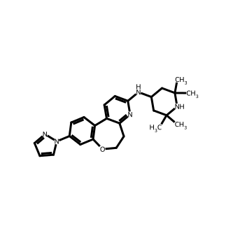 CC1(C)CC(Nc2ccc3c(n2)CCOc2cc(-n4cccn4)ccc2-3)CC(C)(C)N1